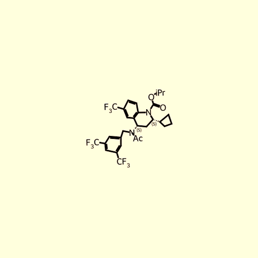 CC(=O)N(Cc1cc(C(F)(F)F)cc(C(F)(F)F)c1)[C@H]1C[C@@H](C2CCC2)N(C(=O)OC(C)C)c2ccc(C(F)(F)F)cc21